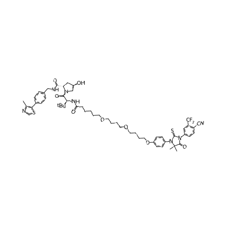 Cc1ncsc1-c1ccc(CNC(=O)[C@@H]2C[C@@H](O)CN2C(=O)[C@@H](NC(=O)CCCCCOCCCCOCCCCOc2ccc(N3C(=S)N(c4ccc(C#N)c(C(F)(F)F)c4)C(=O)C3(C)C)cc2)C(C)(C)C)cc1